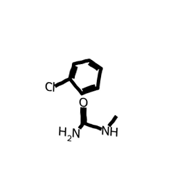 CNC(N)=O.Clc1ccccc1